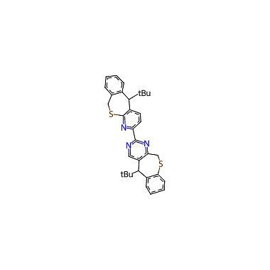 CC(C)(C)C1c2ccccc2SCc2nc(-c3ccc4c(n3)SCc3ccccc3C4C(C)(C)C)ncc21